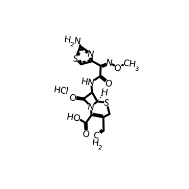 C=CC1=C(C(=O)O)N2C(=O)C(NC(=O)/C(=N\OC)c3csc(N)n3)[C@H]2SC1.Cl